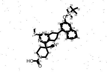 CSc1nc2c(c(C3(C#N)CCN(C(=O)O)CC3)n1)CCC(c1cc(O[Si](C)(C)C(C)(C)C)cc3ccccc13)C2